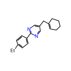 CCc1ccc(-c2ncc(CC3=CCCCC3)cn2)cc1